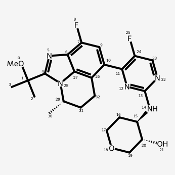 COC(C)(C)c1nc2c(F)cc(-c3nc(N[C@@H]4CCOC[C@H]4O)ncc3F)c3c2n1[C@@H](C)CC3